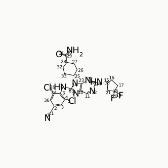 N#Cc1cc(Cl)c(Nc2nc3cnc(N[C@@H]4CCC(F)(F)C4)nc3n2[C@H]2CC[C@H](C(N)=O)CC2)c(Cl)c1